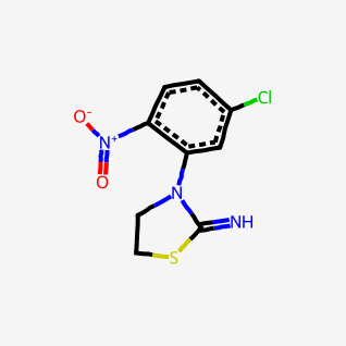 N=C1SCCN1c1cc(Cl)ccc1[N+](=O)[O-]